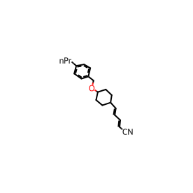 CCCc1ccc(COC2CCC(C=CC=CC#N)CC2)cc1